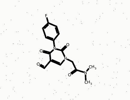 CN(C)C(=O)Cn1cc(C=O)c(=O)n(-c2ccc(F)cc2)c1=O